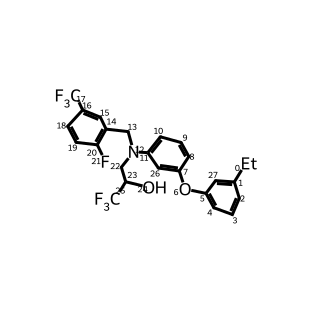 CCc1cccc(Oc2cccc(N(Cc3cc(C(F)(F)F)ccc3F)CC(O)C(F)(F)F)c2)c1